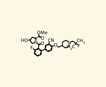 COC(=O)[C@@H]1C[C@@H](O)CN1C(=O)c1c(F)cccc1-c1ccc(OCC2CCN(CC(C)(C)F)CC2)c(C#N)c1